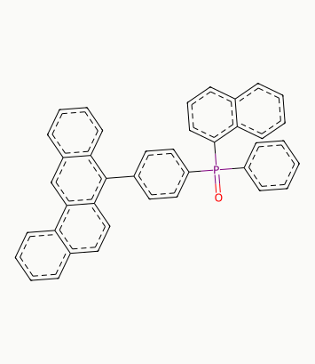 O=P(c1ccccc1)(c1ccc(-c2c3ccccc3cc3c2ccc2ccccc23)cc1)c1cccc2ccccc12